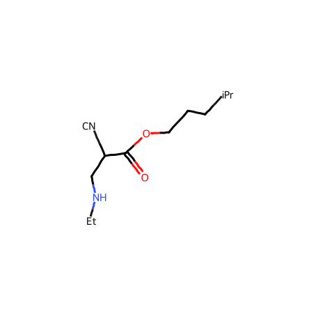 [C-]#[N+]C(CNCC)C(=O)OCCCC(C)C